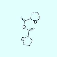 C=C(OC(=C)C1CCCO1)C1CCCO1